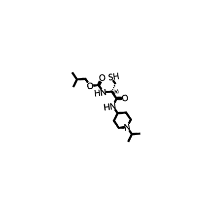 CC(C)COC(=O)N[C@H](CS)C(=O)NC1CCN(C(C)C)CC1